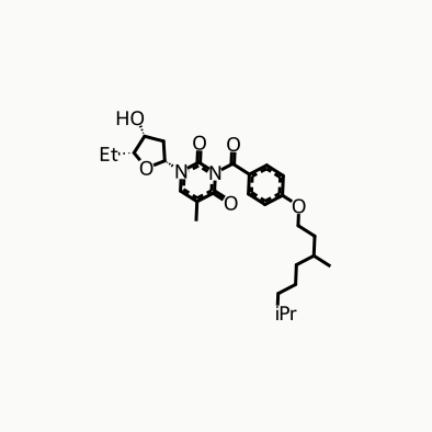 CC[C@H]1O[C@@H](n2cc(C)c(=O)n(C(=O)c3ccc(OCCC(C)CCCC(C)C)cc3)c2=O)C[C@H]1O